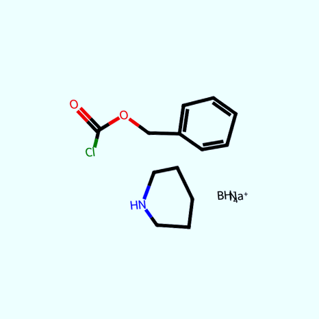 C1CCNCC1.O=C(Cl)OCc1ccccc1.[BH4-].[Na+]